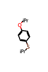 CC(C)Oc1ccc(SC(C)C)cc1